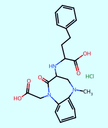 CN1CC(NC(CCc2ccccc2)C(=O)O)C(=O)N(CC(=O)O)c2ccccc21.Cl